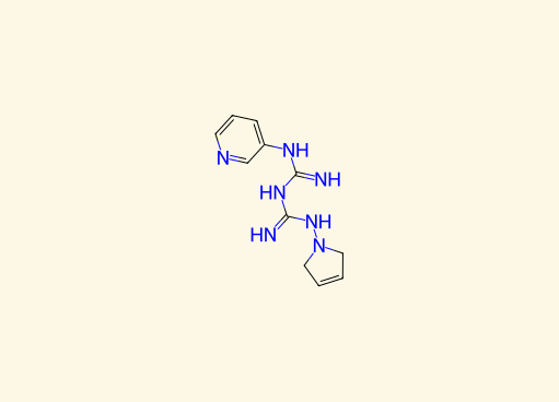 N=C(NC(=N)NN1CC=CC1)Nc1cccnc1